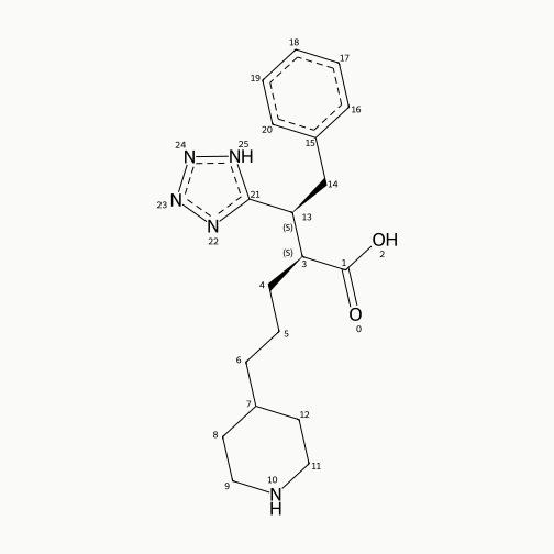 O=C(O)[C@@H](CCCC1CCNCC1)[C@H](Cc1ccccc1)c1nnn[nH]1